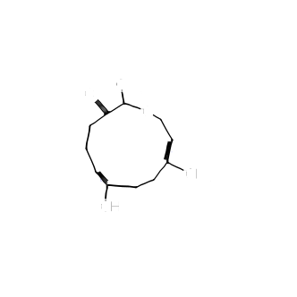 C/C1=C/CCC(=O)C(C)CC/C=C(/C)CC1